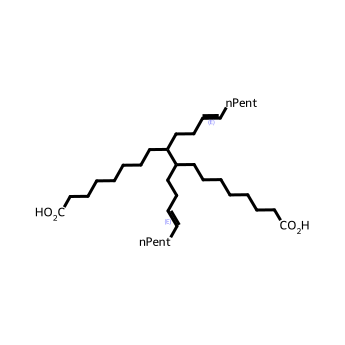 CCCCC/C=C/CCC(CCCCCCCC(=O)O)C(CC/C=C/CCCCC)CCCCCCCC(=O)O